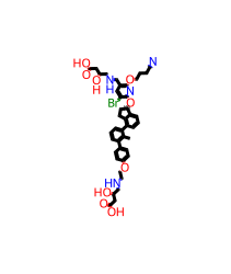 Cc1c(-c2ccc(OCCNCC(O)CC(=O)O)cc2)cccc1-c1cccc2c1CC[C@@H]2Oc1nc(OCCCC#N)c(CNCC(O)CC(=O)O)cc1Br